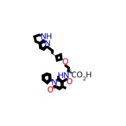 Cc1cc(=O)n(-c2ccccc2)c(C)c1C(=O)N[C@@H](CCO[C@H]1C[C@@H](CCc2ccc3c(n2)NCCC3)C1)C(=O)O